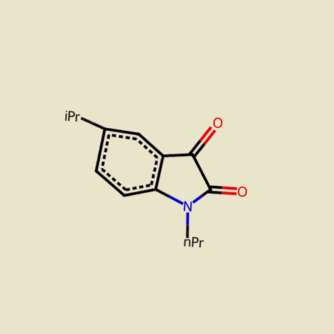 CCCN1C(=O)C(=O)c2cc(C(C)C)ccc21